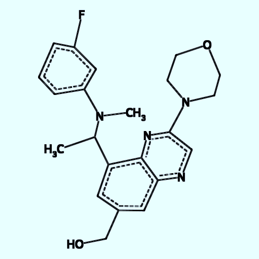 CC(c1cc(CO)cc2ncc(N3CCOCC3)nc12)N(C)c1cccc(F)c1